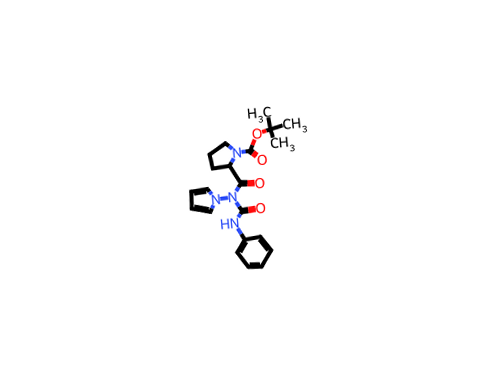 CC(C)(C)OC(=O)N1CCCC1C(=O)N(C(=O)Nc1ccccc1)n1cccc1